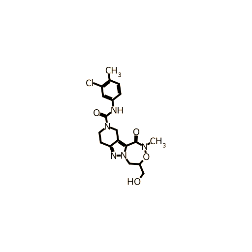 Cc1ccc(NC(=O)N2CCc3nn4c(c3C2)C(=O)N(C)OC(CO)C4)cc1Cl